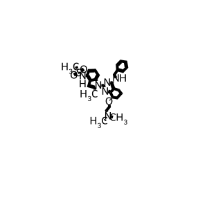 Cc1cc2c(NS(C)(=O)=O)cccc2n1-c1nc(NCc2ccccc2)c2c(n1)[C@@H](OCCN(C)C)CCC2